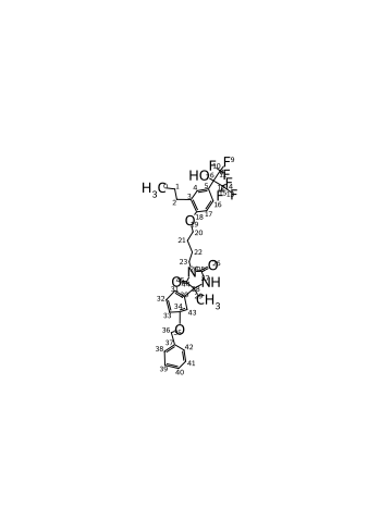 CCCc1cc(C(O)(C(F)(F)F)C(F)(F)F)ccc1OCCCCN1C(=O)NC(C)(c2cccc(OCc3ccccc3)c2)C1=O